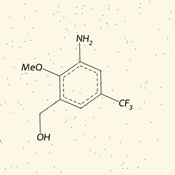 COc1c(N)cc(C(F)(F)F)cc1CO